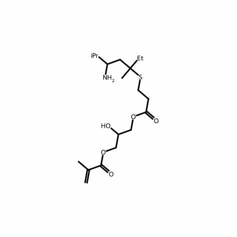 C=C(C)C(=O)OCC(O)COC(=O)CCSC(C)(CC)CC(N)C(C)C